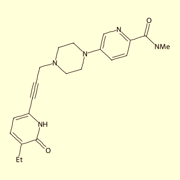 CCc1ccc(C#CCN2CCN(c3ccc(C(=O)NC)nc3)CC2)[nH]c1=O